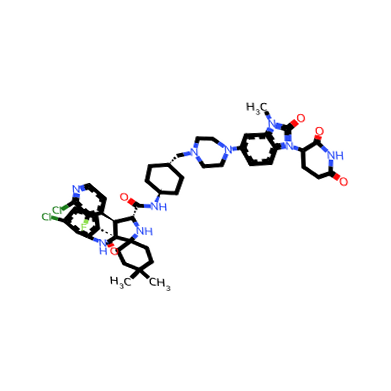 Cn1c(=O)n(C2CCC(=O)NC2=O)c2ccc(N3CCN(C[C@H]4CC[C@H](NC(=O)[C@@H]5NC6(CCC(C)(C)CC6)[C@@]6(C(=O)Nc7cc(Cl)ccc76)[C@H]5c5ccnc(Cl)c5F)CC4)CC3)cc21